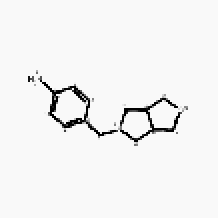 Nc1ccc(CN2CC3COCC3C2)cc1